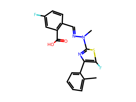 Cc1ccccc1-c1nc(N(C)/N=C/c2ccc(F)cc2C(=O)O)sc1F